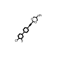 CCCC1COC(C#Cc2ccc(-c3ccc(Cl)c(F)c3)cc2)OC1